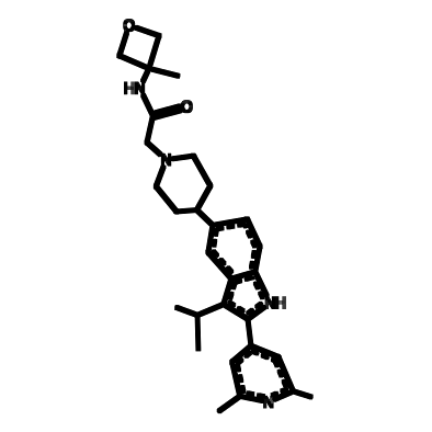 Cc1cc(-c2[nH]c3ccc(C4CCN(CC(=O)NC5(C)COC5)CC4)cc3c2C(C)C)cc(C)n1